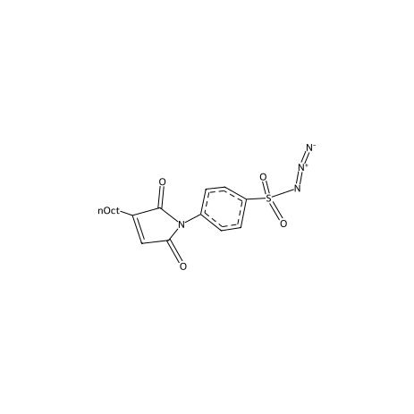 CCCCCCCCC1=CC(=O)N(c2ccc(S(=O)(=O)N=[N+]=[N-])cc2)C1=O